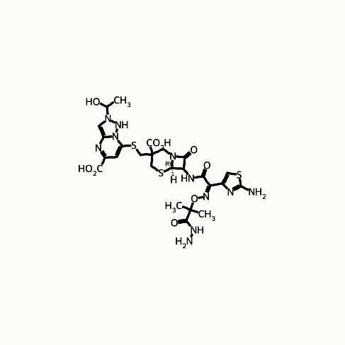 CC(O)N1C=C2N=C(C(=O)O)C=C(SCC3(C(=O)O)CS[C@@H]4C(NC(=O)C(=NOC(C)(C)C(=O)NN)c5csc(N)n5)C(=O)N4C3)N2N1